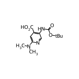 CN(C)c1cc(C(=O)O)c(NC(=O)OC(C)(C)C)cn1